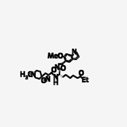 CCC(=O)CCCCC[C@H](NC(=O)C1=NOC2(CCN(C)CC2)C1)c1ncc(-c2cc3cccnc3cc2OC)o1